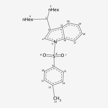 CCCCCCC(CCCCCC)c1cn(S(=O)(=O)c2ccc(C)cc2)c2ccccc12